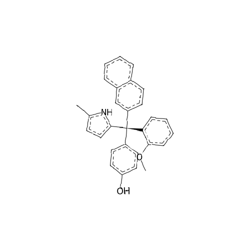 COc1ccccc1[C@](c1ccc(O)cc1)(c1ccc2ccccc2c1)c1ccc(C)[nH]1